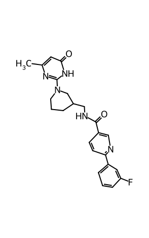 Cc1cc(=O)[nH]c(N2CCCC(CNC(=O)c3ccc(-c4cccc(F)c4)nc3)C2)n1